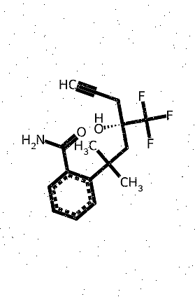 C#CC[C@](O)(CC(C)(C)c1ccccc1C(N)=O)C(F)(F)F